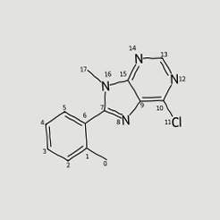 Cc1ccccc1-c1nc2c(Cl)ncnc2n1C